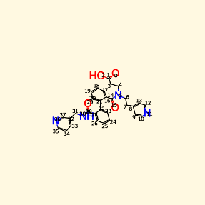 O=C(O)CCN(CCc1ccncc1)C(=O)c1ccccc1-c1ccccc1C(=O)NCc1cccnc1